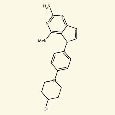 CNc1nc(N)nc2ccn(-c3ccc(N4CCC(O)CC4)cc3)c12